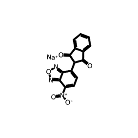 O=C1c2ccccc2C(=O)C1c1ccc([N+](=O)[O-])c2nonc12.[Na+]